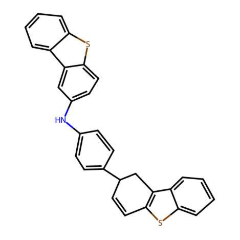 C1=CC(c2ccc(Nc3ccc4sc5ccccc5c4c3)cc2)Cc2c1sc1ccccc21